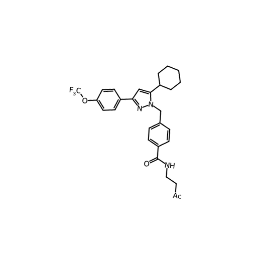 CC(=O)CCNC(=O)c1ccc(Cn2nc(-c3ccc(OC(F)(F)F)cc3)cc2C2CCCCC2)cc1